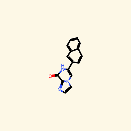 O=c1[nH]c(-c2ccc3ccccc3c2)cn2ccnc12